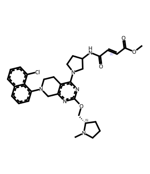 COC(=O)/C=C/C(=O)NC1CCN(c2nc(OC[C@@H]3CCCN3C)nc3c2CCN(c2cccc4cccc(Cl)c24)C3)C1